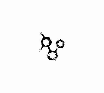 Clc1ccc(-c2ncncc2-n2ccnc2)c(Cl)c1